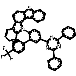 FC(F)(F)c1c#cc(-c2cc(-c3nc(-c4ccccc4)nc(-c4ccccc4)n3)ccc2-n2c3c(c4ccc5sc6ccccc6c5c42)C=CCC3)cc1